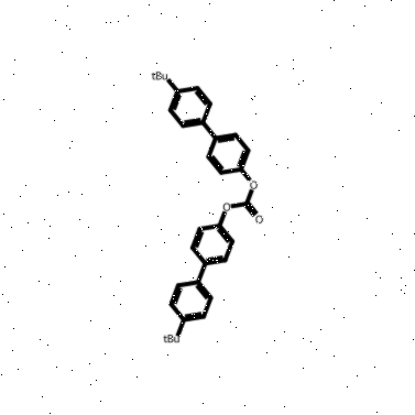 CC(C)(C)c1ccc(-c2ccc(OC(=O)Oc3ccc(-c4ccc(C(C)(C)C)cc4)cc3)cc2)cc1